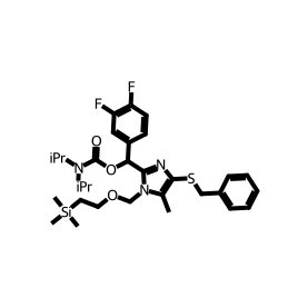 Cc1c(SCc2ccccc2)nc(C(OC(=O)N(C(C)C)C(C)C)c2ccc(F)c(F)c2)n1COCC[Si](C)(C)C